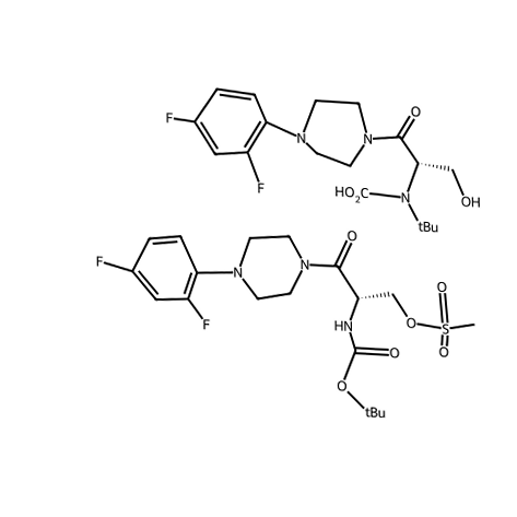 CC(C)(C)N(C(=O)O)[C@@H](CO)C(=O)N1CCN(c2ccc(F)cc2F)CC1.CC(C)(C)OC(=O)N[C@@H](COS(C)(=O)=O)C(=O)N1CCN(c2ccc(F)cc2F)CC1